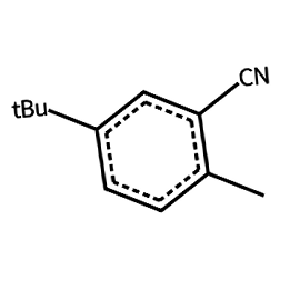 Cc1ccc(C(C)(C)C)cc1C#N